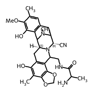 COc1c(C)cc2c(c1O)C1[C@@H]3Cc4c(O)c(C)c5c(c4C(CNC(=O)C(C)N)N3[C@@H](C#N)C(C2)N1C)OCO5